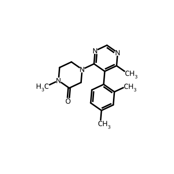 Cc1ccc(-c2c(C)ncnc2N2CCN(C)C(=O)C2)c(C)c1